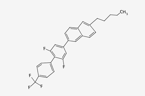 CCCCCc1ccc2cc(-c3cc(F)c(-c4ccc(C(F)(F)F)cc4)c(F)c3)ccc2c1